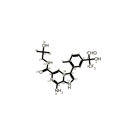 Cc1ccc(C(O)(C=O)C(F)(F)F)cc1C1=CNC2C(N)=NC(C(=O)NCC(C)(C)O)=CN12